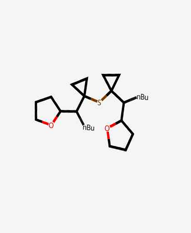 CCCCC(C1CCCO1)C1(SC2(C(CCCC)C3CCCO3)CC2)CC1